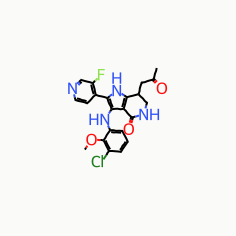 COc1c(Cl)cccc1Nc1c(-c2ccncc2F)[nH]c2c1C(=O)NCC2CC(C)=O